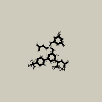 CC(C)CCN(Cc1cc(F)cc(F)c1)Cc1cc(-c2ccc(C(F)(F)F)cc2)cc(C(CC(C)C)C(=O)O)c1